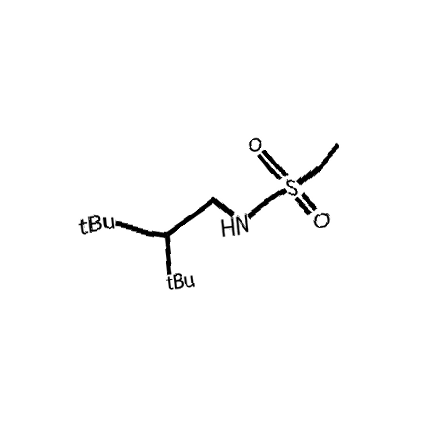 CC(C)(C)C(CNS(C)(=O)=O)C(C)(C)C